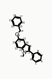 Cn1c(-c2ccccc2)cc2cc(OCc3ccccc3)ccc21